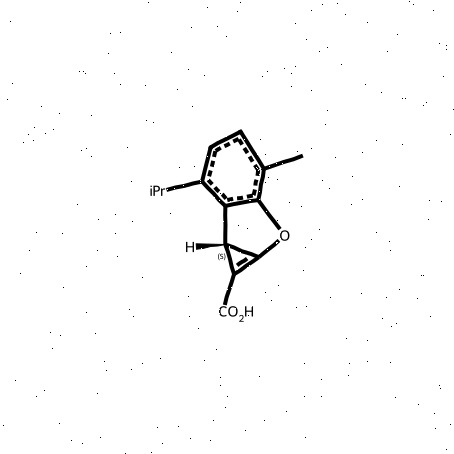 Cc1ccc(C(C)C)c2c1OC1=C(C(=O)O)[C@@H]12